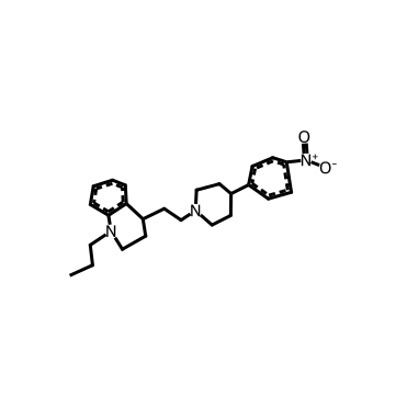 CCCN1CCC(CCN2CCC(c3ccc([N+](=O)[O-])cc3)CC2)c2ccccc21